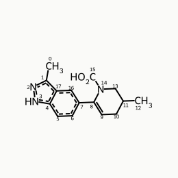 Cc1n[nH]c2ccc(C3=CCC(C)CN3C(=O)O)cc12